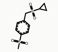 CS(=O)(=O)c1ccc(CS(=O)(=O)C2CC2)cc1